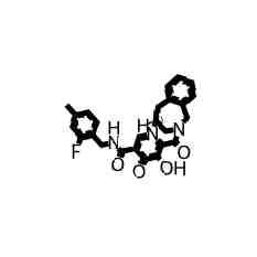 Cc1ccc(CNC(=O)c2cn3c(c(O)c2=O)C(=O)N2Cc4ccccc4C[C@H]3C2)c(F)c1